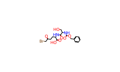 O=C(CBr)CCC(NC(=O)C(CO)NC(=O)OCc1ccccc1)C(=O)O